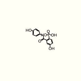 O=C(Cc1ccc(O)cc1)c1cc(O)ccc1P(=O)(O)O